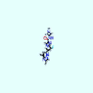 Cc1cn2nc(-c3cc(F)c4nc(C(=O)NC5CN(C)C5)cn4c3)cc(C)c2n1